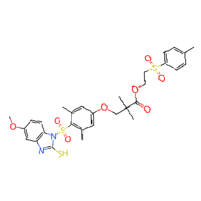 COc1ccc2c(c1)nc(S)n2S(=O)(=O)c1c(C)cc(OCC(C)(C)C(=O)OCCS(=O)(=O)c2ccc(C)cc2)cc1C